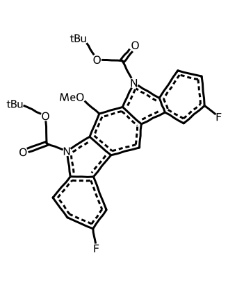 COc1c2c(cc3c4cc(F)ccc4n(C(=O)OC(C)(C)C)c13)c1cc(F)ccc1n2C(=O)OC(C)(C)C